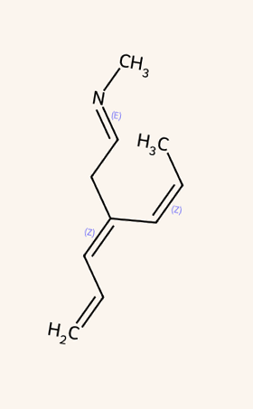 C=C/C=C(\C=C/C)C/C=N/C